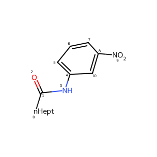 CCCCCCCC(=O)Nc1cccc([N+](=O)[O-])c1